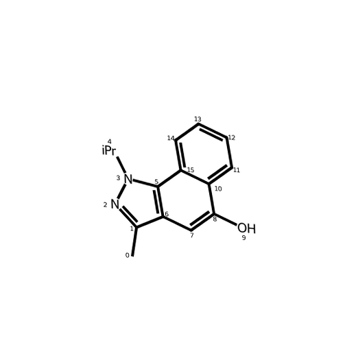 Cc1nn(C(C)C)c2c1cc(O)c1ccccc12